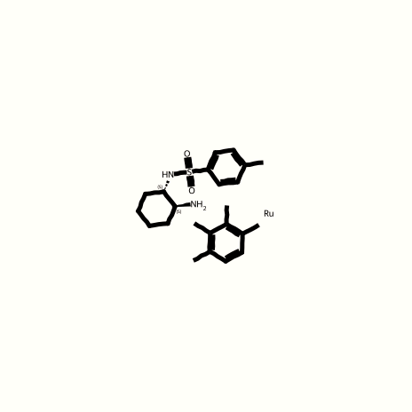 Cc1ccc(C)c(C)c1C.Cc1ccc(S(=O)(=O)N[C@H]2CCCC[C@@H]2N)cc1.[Ru]